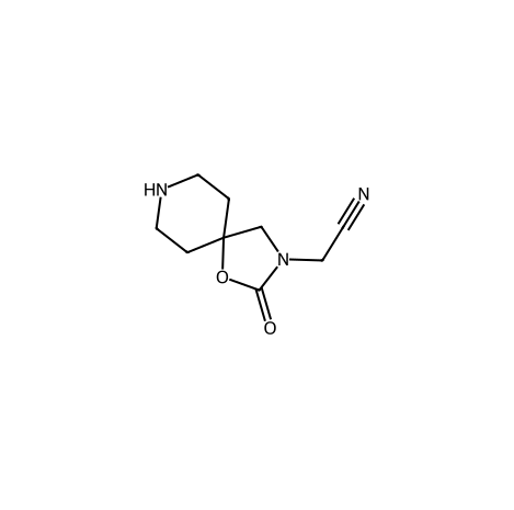 N#CCN1CC2(CCNCC2)OC1=O